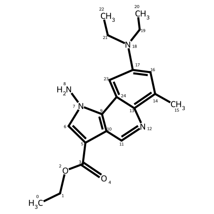 CCOC(=O)c1cn(N)c2c1cnc1c(C)cc(N(CC)CC)cc12